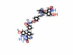 COc1cccc(Nc2c(C(N)=O)cnc3c(C)cc(Cc4cccc(C(=O)N(C)CCOc5ccc(CCNC[C@H](O[Si](C)(C)C(C)(C)C)c6ccc(O)c7[nH]c(=O)ccc67)cc5)c4)cc23)c1